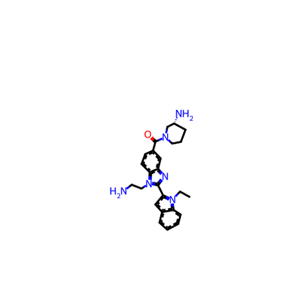 CCn1c(-c2nc3cc(C(=O)N4CCC[C@@H](N)C4)ccc3n2CCN)cc2ccccc21